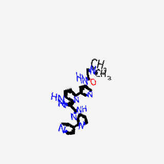 CN(C)CC(=O)Nc1cncc(-c2ccc3[nH]nc(-c4nc5c(-c6ccncc6)nccc5[nH]4)c3n2)c1